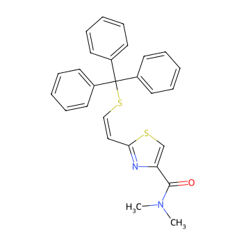 CN(C)C(=O)c1csc(/C=C\SC(c2ccccc2)(c2ccccc2)c2ccccc2)n1